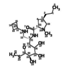 CCC[C@@H]1C[C@@H](C(=O)N[C@@H](CNC23CC(C2)C3)[C@H]2OC(SC)[C@H](O)C(O)C2O)N(C)C1